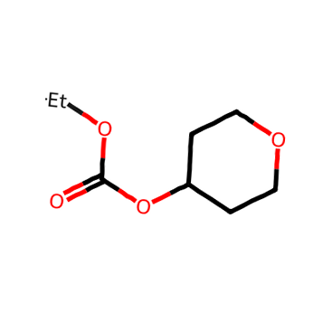 C[CH]OC(=O)OC1CCOCC1